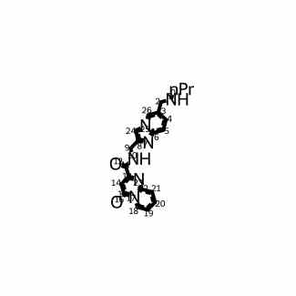 CCCNCc1ccc2nc(CNC(=O)c3cc(=O)n4ccccc4n3)cn2c1